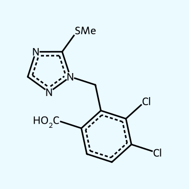 CSc1ncnn1Cc1c(C(=O)O)ccc(Cl)c1Cl